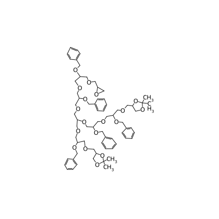 CC1(C)OCC(COCC(COCC(COCC(COCC(COCC2CO2)OCc2ccccc2)OCc2ccccc2)OCC(COCC(COCC2COC(C)(C)O2)OCc2ccccc2)OCc2ccccc2)OCc2ccccc2)O1